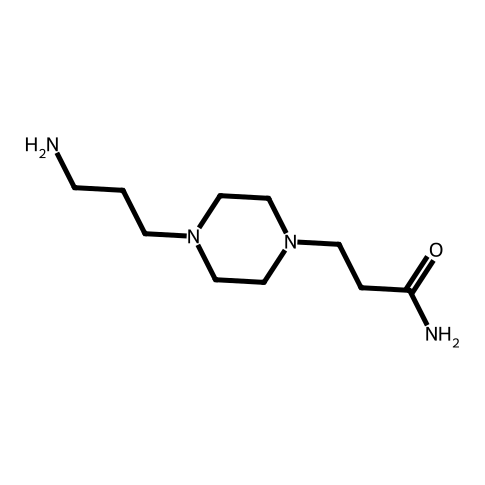 NCCCN1CCN(CCC(N)=O)CC1